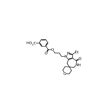 CCc1nn(CCCOC(=O)c2cccc(C(=O)O)c2)c2c1C(=O)NCC1(CCOCC1)C2